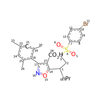 CCCC(CCS(=O)(=O)c1ccc(Br)cc1)c1onc(-c2c(C)cc(C)cc2C)c1C(=O)O